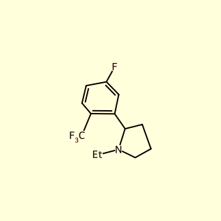 CCN1CCCC1c1cc(F)ccc1C(F)(F)F